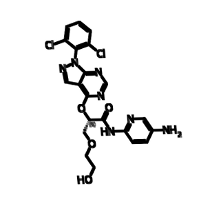 Nc1ccc(NC(=O)[C@H](COCCO)Oc2ncnc3c2cnn3-c2c(Cl)cccc2Cl)nc1